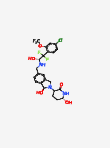 O=C1N[C@H](O)CCC1N1Cc2cc(CN[C@H](O)C(F)(F)c3ccc(Cl)cc3OC(F)(F)F)ccc2[C@@H]1O